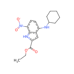 CCOC(=O)c1cc2c(NC3CCCCC3)ccc([N+](=O)[O-])c2[nH]1